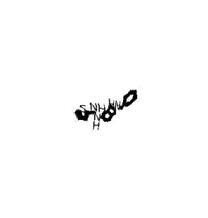 N=C(Nc1ccc2c(c1)CC(NCc1ccccc1)C2)c1cccs1